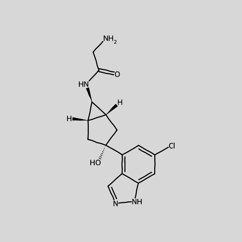 NCC(=O)N[C@H]1[C@@H]2C[C@@](O)(c3cc(Cl)cc4[nH]ncc34)C[C@@H]21